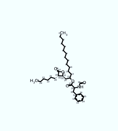 CCCCCCCCCCCCCC(C[C@@H]1OC(=O)[C@H]1CCCCCC)OC(=O)C(Cc1ccccc1)NC=O